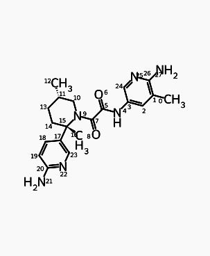 Cc1cc(NC(=O)C(=O)N2C[C@@H](C)CC[C@@]2(C)c2ccc(N)nc2)cnc1N